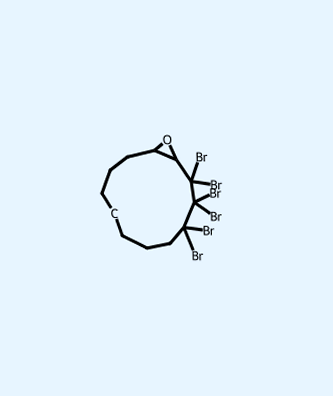 BrC1(Br)CCCCCCCC2OC2C(Br)(Br)C1(Br)Br